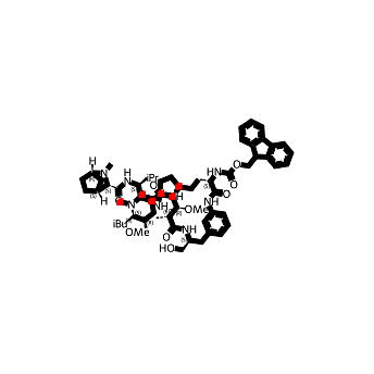 CC[C@H](C)[C@@H]([C@@H](CC(=O)N1CCC[C@H]1[C@H](OC)[C@@H](C)C(=O)N[C@H](CO)Cc1cccc(NC(=O)[C@H](CCCNC(N)=O)NC(=O)OCC2c3ccccc3-c3ccccc32)c1)OC)N(C)C(=O)[C@@H](NC(=O)[C@@H]1[C@H]2CC[C@H](C2)N1C)C(C)C